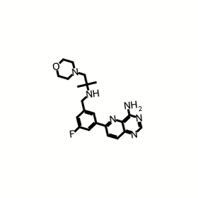 CC(C)(CN1CCOCC1)NCc1cc(F)cc(-c2ccc3ncnc(N)c3n2)c1